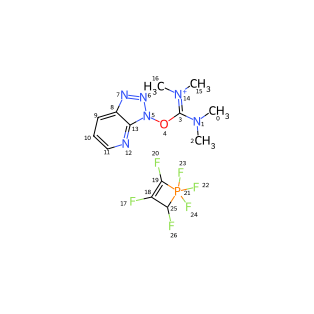 CN(C)C(On1nnc2cccnc21)=[N+](C)C.FC1=C(F)P(F)(F)(F)C1F